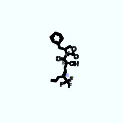 C=CC/C(=C\C[C@H](O)C(=O)N1C(=O)OCC1Cc1ccccc1)C(F)(F)F